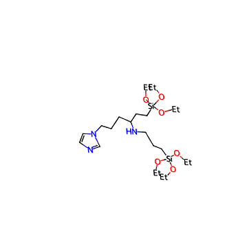 CCO[Si](CCCNC(CCCn1ccnc1)CC[Si](OCC)(OCC)OCC)(OCC)OCC